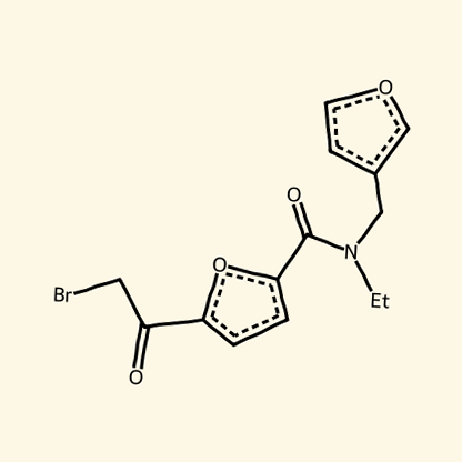 CCN(Cc1ccoc1)C(=O)c1ccc(C(=O)CBr)o1